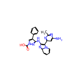 Cc1nc(N)cc(-c2c(Nc3nn(C(=O)O)cc3-c3ccccc3)nc3ccccn23)n1